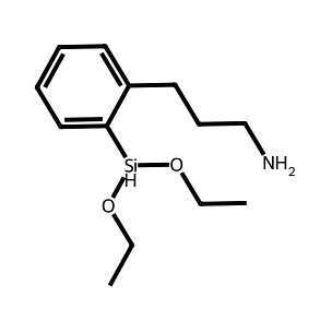 CCO[SiH](OCC)c1ccccc1CCCN